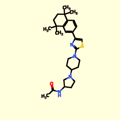 CC(=O)NC1CCN(C2CCN(c3nc(-c4ccc5c(c4)C(C)(C)CCC5(C)C)cs3)CC2)C1